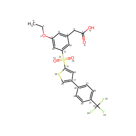 CCOc1cc(CC(=O)O)cc(S(=O)(=O)c2cc(-c3ccc(C(F)(F)F)cc3)cs2)c1